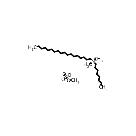 CCCCCCCCCCCCCCCCCC[N+](C)(C)CCCCCCCC.COS(=O)(=O)[O-]